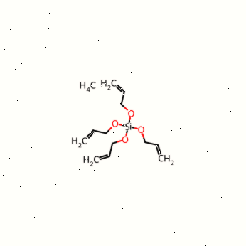 C.C=CCO[Si](OCC=C)(OCC=C)OCC=C